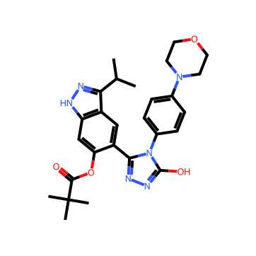 CC(C)c1n[nH]c2cc(OC(=O)C(C)(C)C)c(-c3nnc(O)n3-c3ccc(N4CCOCC4)cc3)cc12